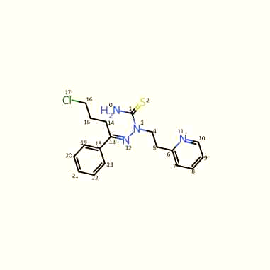 NC(=S)N(CCc1ccccn1)/N=C(\CCCCl)c1ccccc1